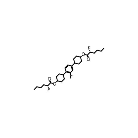 CCCC[C@H](F)C(=O)OC1CCC(c2ccc(C3CCC(OC(=O)[C@@H](F)CCCC)CC3)c(F)c2)CC1